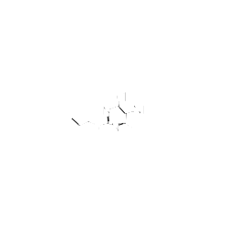 C=CCSc1nc(Cl)c(N)c(Cl)n1